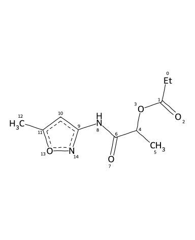 CCC(=O)OC(C)C(=O)Nc1cc(C)on1